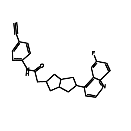 C#Cc1ccc(NC(=O)CC2CC3CC(c4ccnc5ccc(F)cc45)CC3C2)cc1